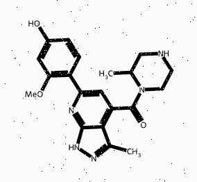 COc1cc(O)ccc1-c1cc(C(=O)N2CCNCC2C)c2c(C)n[nH]c2n1